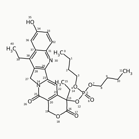 CCCCOP(=O)(OCCCC)OC1(CC)C(=O)OCc2c1cc1n(c2=O)Cc2c-1nc1ccc(O)cc1c2CC